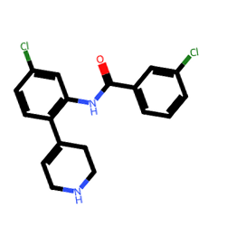 O=C(Nc1cc(Cl)ccc1C1=CCNCC1)c1cccc(Cl)c1